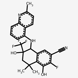 Cc1ccc2c(NC3c4cc(C#N)c(F)c(O)c4C(C)(C)CC3(O)C(F)(F)F)cccc2n1